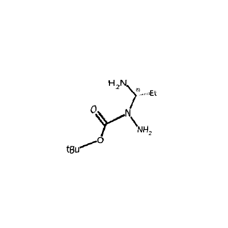 CC[C@@H](N)N(N)C(=O)OC(C)(C)C